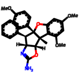 COc1ccc([C@@]23Oc4cc(OC)cc(OC)c4[C@]2(C)[C@@H]2OC(N)=N[C@@H]2[C@H]3c2ccccc2)cc1